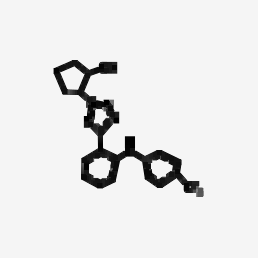 OC1CCCC1n1nnc(-c2ccccc2Nc2ccc(C(F)(F)F)cc2)n1